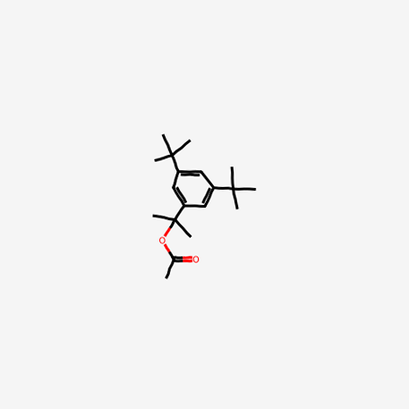 CC(=O)OC(C)(C)c1cc(C(C)(C)C)cc(C(C)(C)C)c1